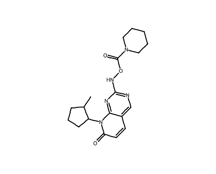 CC1CCCC1n1c(=O)ccc2cnc(NOC(=O)N3CCCCC3)nc21